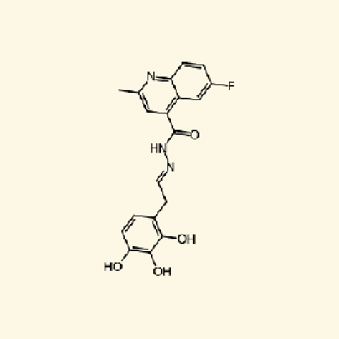 Cc1cc(C(=O)NN=CCc2ccc(O)c(O)c2O)c2cc(F)ccc2n1